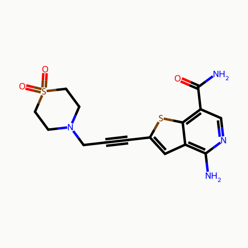 NC(=O)c1cnc(N)c2cc(C#CCN3CCS(=O)(=O)CC3)sc12